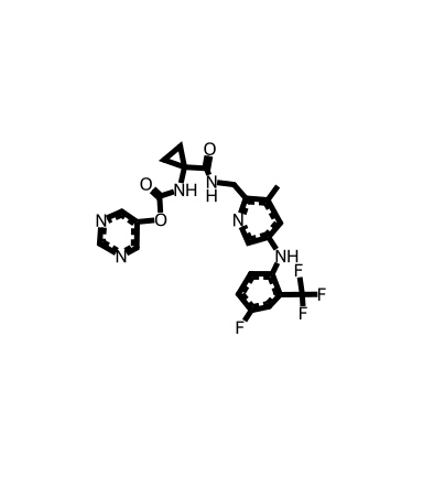 Cc1cc(Nc2ccc(F)cc2C(F)(F)F)cnc1CNC(=O)C1(NC(=O)Oc2cncnc2)CC1